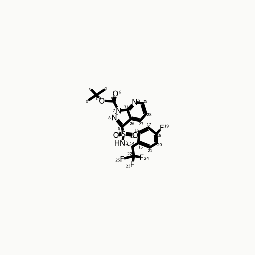 CC(C)(C)OC(=O)n1nc(S(=O)(=O)N[C@H](c2ccc(F)cc2)C(F)(F)F)c2cccnc21